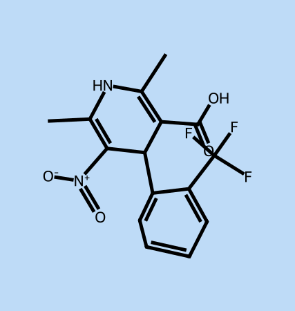 CC1=C(C(=O)O)C(c2ccccc2C(F)(F)F)C([N+](=O)[O-])=C(C)N1